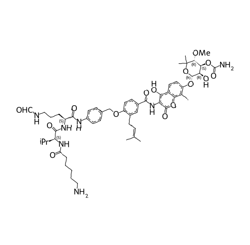 CO[C@@H]1[C@@H](OC(N)=O)[C@@H](O)[C@H](Oc2ccc3c(O)c(NC(=O)c4ccc(OCc5ccc(NC(=O)[C@H](CCCNC=O)NC(=O)[C@@H](NC(=O)CCCCCN)C(C)C)cc5)c(CC=C(C)C)c4)c(=O)oc3c2C)OC1(C)C